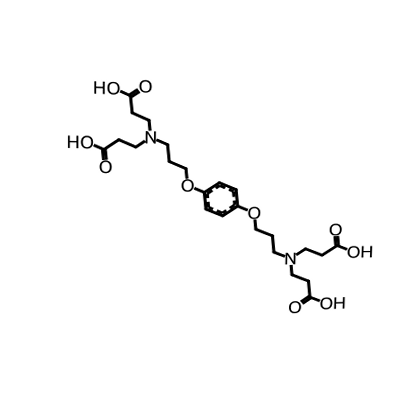 O=C(O)CCN(CCCOc1ccc(OCCCN(CCC(=O)O)CCC(=O)O)cc1)CCC(=O)O